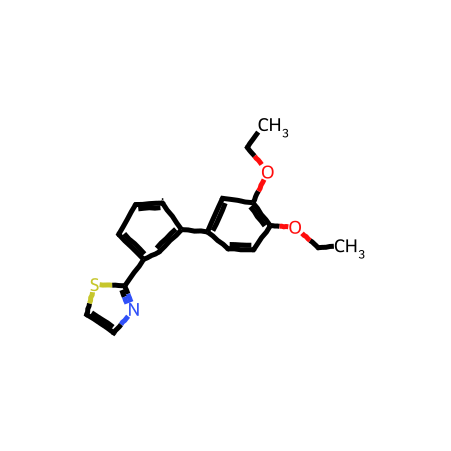 CCOc1ccc(-c2[c]ccc(-c3nccs3)c2)cc1OCC